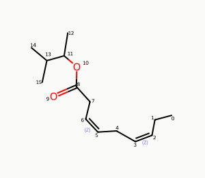 CC/C=C\C/C=C\CC(=O)OC(C)C(C)C